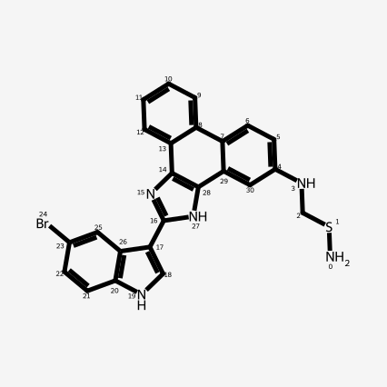 NSCNc1ccc2c3ccccc3c3nc(-c4c[nH]c5ccc(Br)cc45)[nH]c3c2c1